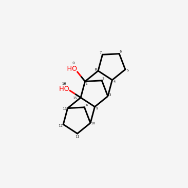 OC12CC(C3CCCC31)C1C3CCC(C3)C12O